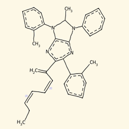 C=C(/C=C\C=C/CC)c1nc2c(nc1-c1ccccc1C)N(c1ccccc1)C(C)N2c1ccccc1C